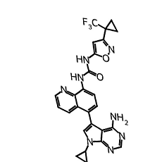 Nc1ncnc2c1c(-c1ccc(NC(=O)Nc3cc(C4(C(F)(F)F)CC4)no3)c3ncccc13)cn2C1CC1